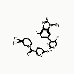 Cc1nc2c(F)cc(-c3nc(Nc4ccc(C(=O)N5CCCC(F)(F)C5)cn4)ncc3F)cc2n1C(C)C